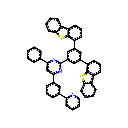 c1ccc(-c2cc(-c3cccc(-c4ccccn4)c3)nc(-c3cc(-c4cccc5c4sc4ccccc45)cc(-c4cccc5c4sc4ccccc45)c3)n2)cc1